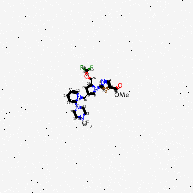 COC(=O)c1cnc(N2C[C@@H](CN3C=CC=CC3N3CCN(C(F)(F)F)CC3)C[C@H]2COC(F)F)s1